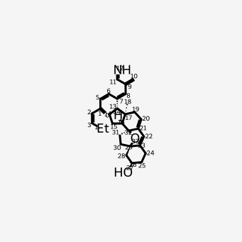 C=C(/C=C\CC)/C=C\C(=C/C(=C)C=N)[C@H]1CC[C@@H]2[C@]1(C)CC=C1C=C3CC[C@@H](O)C[C@]34CC[C@@]12O4